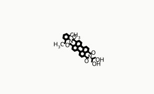 CCc1cccc(C)c1N1C(=O)c2ccc3c4ccc5c6c(ccc(c7ccc(c2c37)C1=O)c64)C(=O)N(C(CO)CO)C5=O